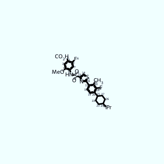 COc1cc(C(=O)O)c(F)cc1NS(=O)(=O)c1csc(-c2ccc(C3CCC(C(C)C)CC3)c(F)c2C)n1